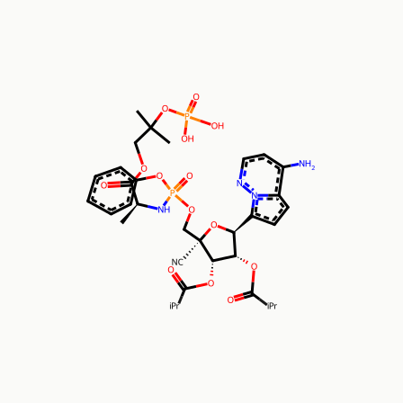 CC(C)C(=O)O[C@H]1[C@H](c2ccc3c(N)ccnn23)O[C@](C#N)(COP(=O)(N[C@@H](C)C(=O)OCC(C)(C)OP(=O)(O)O)Oc2ccccc2)[C@H]1OC(=O)C(C)C